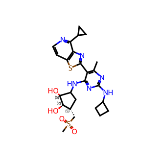 Cc1nc(NC2CCC2)nc(NC2C[C@H](CS(C)(=O)=O)[C@@H](O)[C@H]2O)c1-c1nc2c(C3CC3)nccc2s1